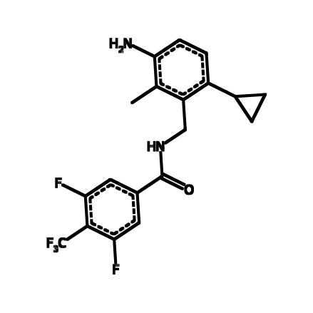 Cc1c(N)ccc(C2CC2)c1CNC(=O)c1cc(F)c(C(F)(F)F)c(F)c1